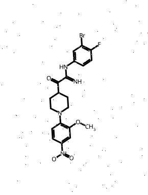 COc1cc([N+](=O)[O-])ccc1N1CCC(C(=O)C(=N)Nc2ccc(F)c(Br)c2)CC1